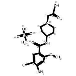 COc1cc(N)c(Cl)cc1C(=O)NC1CCN(CC(=O)O)CC1.CS(=O)(=O)O